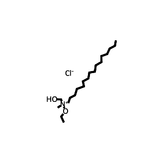 CCCCCCCCCCCCCCCC[N+](C)(CO)OCC.[Cl-]